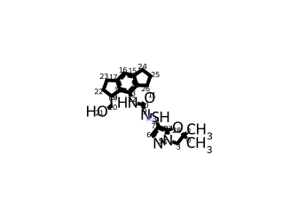 CC1(C)Cn2ncc(/[SH]=N/C(=O)Nc3c4c(cc5c3[C@@H](CO)CC5)CCC4)c2O1